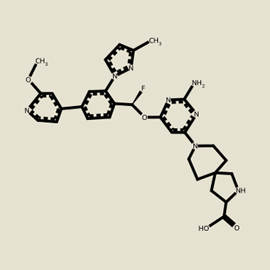 COc1cc(-c2ccc([C@@H](F)Oc3cc(N4CCC5(CC4)CNC(C(=O)O)C5)nc(N)n3)c(-n3ccc(C)n3)c2)ccn1